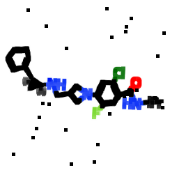 CC(C)NC(=O)c1cc(F)c(N2CC(CN[C@@H]3C[C@H]3c3ccccc3)C2)cc1Cl